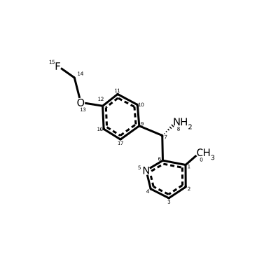 Cc1cccnc1[C@@H](N)c1ccc(OCF)cc1